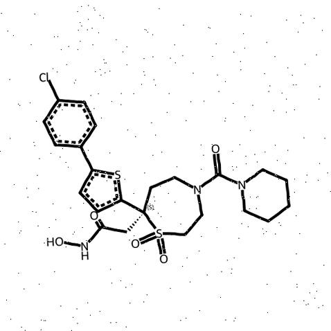 O=C(C[C@]1(c2ccc(-c3ccc(Cl)cc3)s2)CCN(C(=O)N2CCCCC2)CCS1(=O)=O)NO